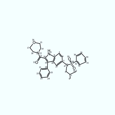 CC(C)CN(c1ccc2[nH]c(C(=O)N3CCOCC3)c(-c3ccccc3)c2c1)S(=O)(=O)c1ccccc1